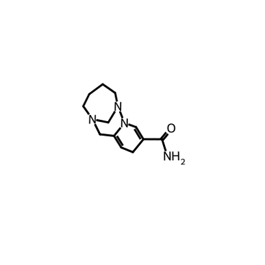 NC(=O)C1=CN2C(=CC1)CN1CCCCN2C1